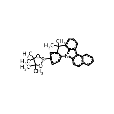 CC1(C)c2cc(B3OC(C)(C)C(C)(C)O3)ccc2-n2c3ccc4ccccc4c3c3cccc1c32